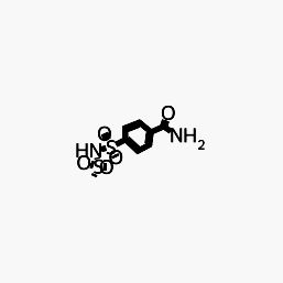 CS(=O)(=O)NS(=O)(=O)c1ccc(C(N)=O)cc1